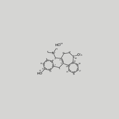 CN(C)CC1=C(Cc2cccc(O)c2)c2ccccc2[S+]([O-])CC1.Cl